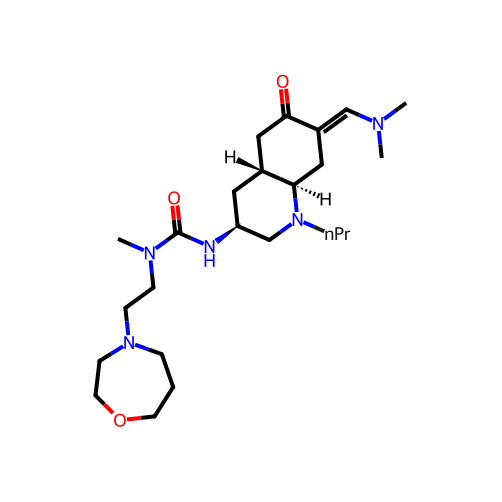 CCCN1C[C@@H](NC(=O)N(C)CCN2CCCOCC2)C[C@@H]2CC(=O)C(=CN(C)C)C[C@H]21